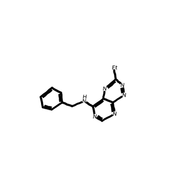 CCc1nnc2ncnc(NCc3ccccc3)c2n1